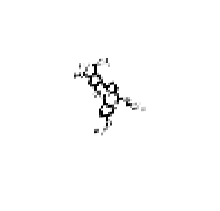 CCNC(=O)C1=CCC(c2cc(C(C)C)c(O)cc2O)N1Cc1ccc(OC)cc1